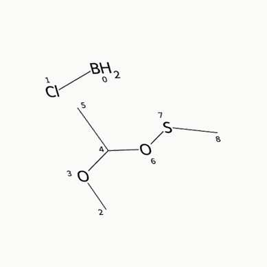 BCl.COC(C)OSC